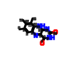 Cc1cc2nc3c(=O)[nH]c(=O)nc-3[nH]c2c(C)c1C